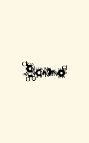 Cn1c(=O)c(=O)n(C2CCN(c3ncc(CNc4cccc(Cl)c4)cn3)CC2)c2ncc(Cl)cc21